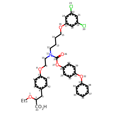 CCOC(Cc1ccc(OCCN(CCCCOc2cc(Cl)cc(Cl)c2)C(=O)Oc2ccc(Oc3ccccc3)cc2)cc1)C(=O)O